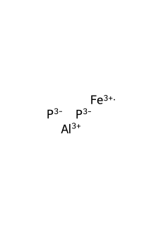 [Al+3].[Fe+3].[P-3].[P-3]